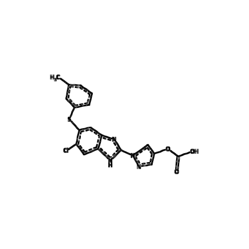 Cc1cccc(Sc2cc3nc(-n4cc(OC(=O)O)cn4)[nH]c3cc2Cl)c1